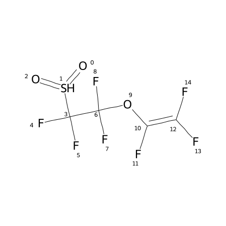 O=[SH](=O)C(F)(F)C(F)(F)OC(F)=C(F)F